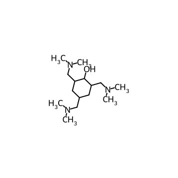 CN(C)CC1CC(CN(C)C)C(O)C(CN(C)C)C1